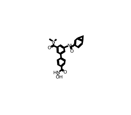 CN(C)C(=O)c1cc(NC(=O)c2ccc3c(c2)C3)cc(-c2ccc(C(=O)NO)cc2)c1